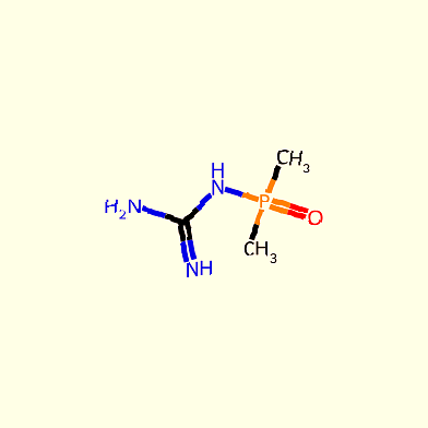 CP(C)(=O)NC(=N)N